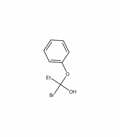 CCC(O)(Br)Oc1ccccc1